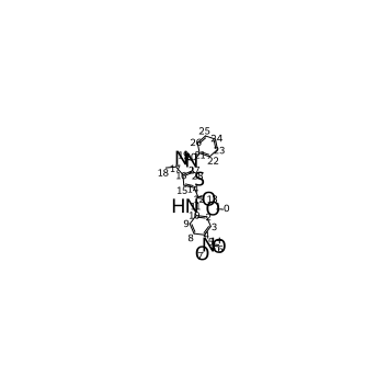 COc1cc([N+](=O)[O-])ccc1NC(=O)c1cc2c(C)nn(-c3ccccc3)c2s1